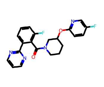 O=C(c1c(F)cccc1-c1ncccn1)N1CCCC(Oc2ccc(F)cn2)C1